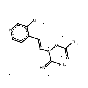 CC(=O)ON(N=Cc1ccncc1Cl)C(=N)N